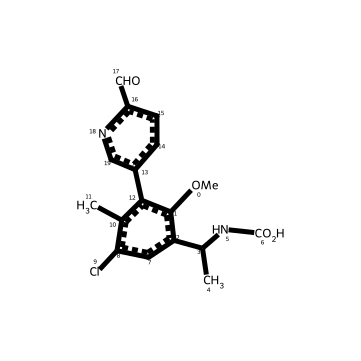 COc1c(C(C)NC(=O)O)cc(Cl)c(C)c1-c1ccc(C=O)nc1